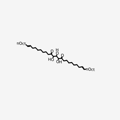 CCCCCCCCC=CCCCCCCCC(=O)C(O)C(O)C(O)C(=O)CCCCCCCC=CCCCCCCCC